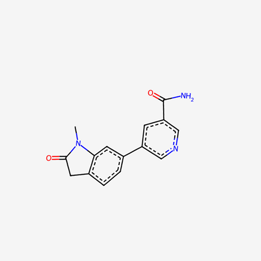 CN1C(=O)Cc2ccc(-c3cncc(C(N)=O)c3)cc21